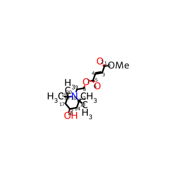 COC(=O)/C=C/C(=O)OCCN1C(C)(C)CC(O)CC1(C)C